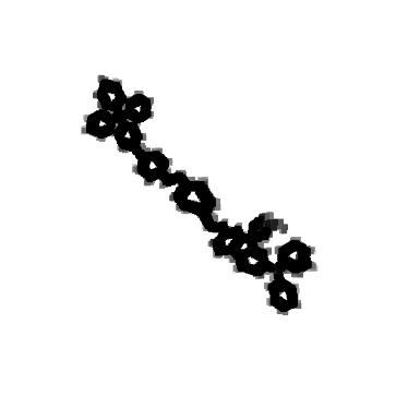 CCC1(CC)c2cc(/C=C/c3ccc(/C=C/c4ccc(-c5ccc(C(c6ccccc6)(c6ccccc6)c6ccccc6)cc5)cc4)cc3)ccc2-c2ccc(N(c3ccccc3)c3ccccc3)cc21